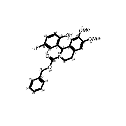 COc1cc2c(cc1OC)C(c1cc(F)ccc1O)N(C(=O)OCc1ccccc1)CC2